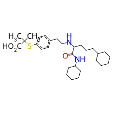 CC(C)(Sc1ccc(CCNC(CCCC2CCCCC2)C(=O)NC2CCCCC2)cc1)C(=O)O